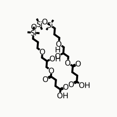 C[Si](C)(CCCOCC(O)COC(=O)CCC(=O)O)O[Si](C)(C)O[Si](C)(C)CCCOCC(O)COC(=O)CCC(=O)O